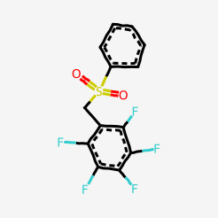 O=S(=O)(Cc1c(F)c(F)c(F)c(F)c1F)c1ccccc1